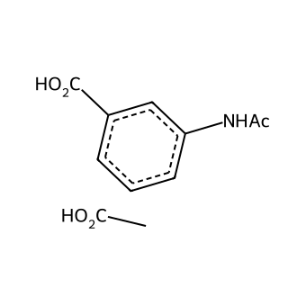 CC(=O)Nc1cccc(C(=O)O)c1.CC(=O)O